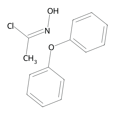 CC(Cl)=NO.c1ccc(Oc2ccccc2)cc1